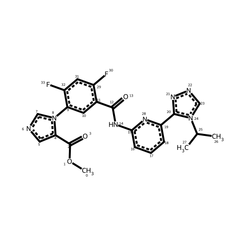 COC(=O)c1cncn1-c1cc(C(=O)Nc2cccc(-c3nncn3C(C)C)n2)c(F)cc1F